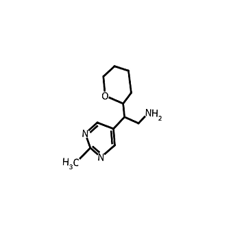 Cc1ncc(C(CN)C2CCCCO2)cn1